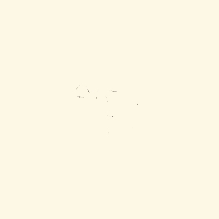 CC(C)C(=O)OC1C=C(S(=O)(=O)c2ccccc2)C=CC1[C@@H]1CCNC1